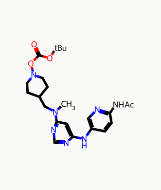 CC(=O)Nc1ccc(Nc2cc(N(C)CC3CCN(OC(=O)OC(C)(C)C)CC3)ncn2)cn1